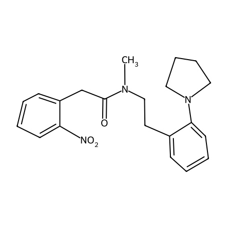 CN(CCc1ccccc1N1CCCC1)C(=O)Cc1ccccc1[N+](=O)[O-]